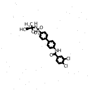 C#CC(C)(C)NS(=O)(=O)c1ccc(-c2ccc(NC(=O)c3ccc(Cl)c(Cl)c3)cc2)cc1